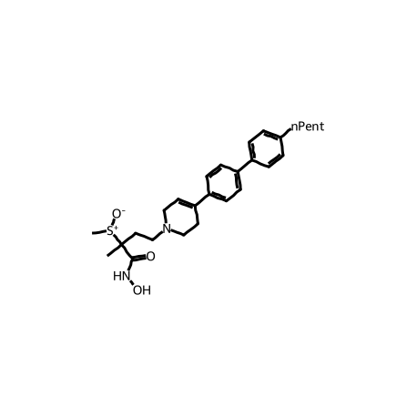 CCCCCc1ccc(-c2ccc(C3=CCN(CCC(C)(C(=O)NO)[S+](C)[O-])CC3)cc2)cc1